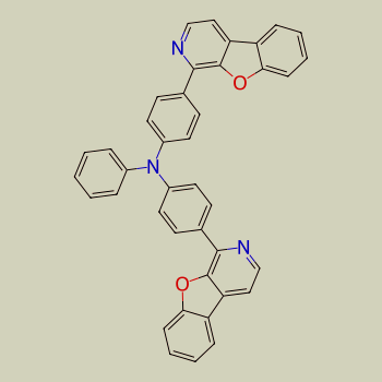 c1ccc(N(c2ccc(-c3nccc4c3oc3ccccc34)cc2)c2ccc(-c3nccc4c3oc3ccccc34)cc2)cc1